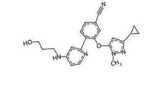 Cn1nc(C2CC2)cc1Oc1cc(C#N)ccc1-c1cc(NCCCO)ccn1